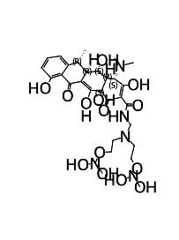 C[C@H]1c2cccc(O)c2C(=O)C2=C(O)[C@]3(O)C(=O)C(C(=O)NCN(CCON(O)O)CCON(O)O)=C(O)[C@@H](N(C)C)[C@@H]3[C@@H](O)[C@@H]21